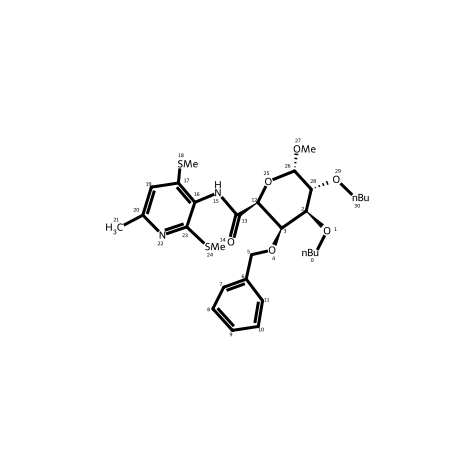 CCCCO[C@H]1[C@@H](OCc2ccccc2)[C@@H](C(=O)Nc2c(SC)cc(C)nc2SC)O[C@H](OC)[C@@H]1OCCCC